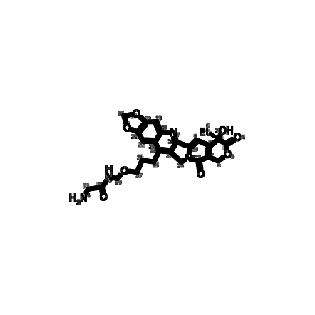 CC[C@@]1(O)C(=O)OCc2c1cc1n(c2=O)Cc2c-1nc1cc3c(cc1c2CCCOCNC(=O)CN)OCO3